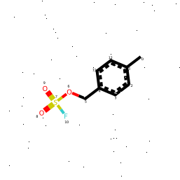 Cc1ccc(COS(=O)(=O)F)cc1